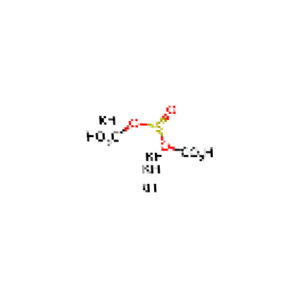 O=C(O)OS(=O)OC(=O)O.[KH].[KH].[KH].[KH]